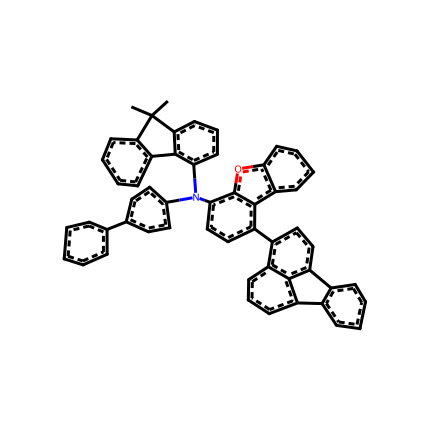 CC1(C)c2ccccc2-c2c(N(c3ccc(-c4ccccc4)cc3)c3ccc(-c4ccc5c6c(cccc46)-c4ccccc4-5)c4c3oc3ccccc34)cccc21